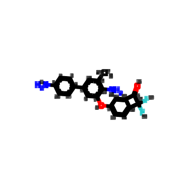 Nc1ccc(-c2cc(OC3=C=C=C4C(=C3)C(=O)C4(F)F)c(N)c(C(F)(F)F)c2)cc1